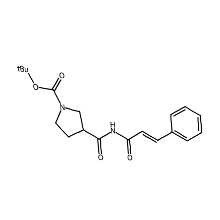 CC(C)(C)OC(=O)N1CCC(C(=O)NC(=O)C=Cc2ccccc2)C1